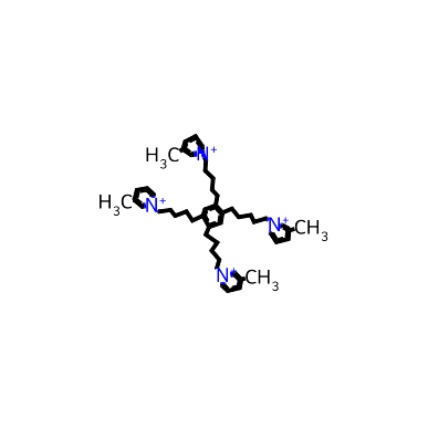 Cc1ccc[n+](CCCCCc2cc(CCCCC[n+]3cccc(C)c3)c(CCCCC[n+]3cccc(C)c3)cc2CCCCC[n+]2cccc(C)c2)c1